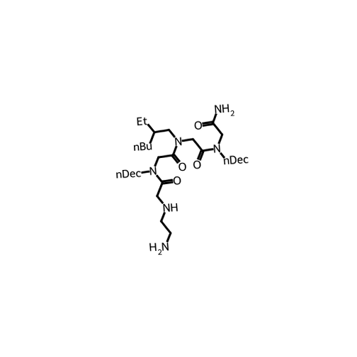 CCCCCCCCCCN(CC(N)=O)C(=O)CN(CC(CC)CCCC)C(=O)CN(CCCCCCCCCC)C(=O)CNCCN